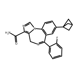 NC(=O)c1ncn2c1CN=C(c1ccccc1F)c1cc(C34CC(C3)C4)ccc1-2